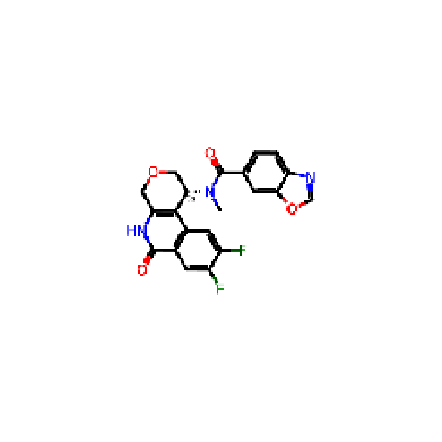 CN(C(=O)c1ccc2ncoc2c1)[C@H]1COCc2[nH]c(=O)c3cc(F)c(F)cc3c21